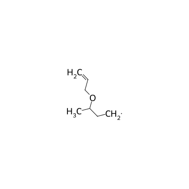 [CH2]CC(C)OCC=C